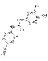 N#Cc1ccc(NC(=O)Nc2ccc(O)c(F)c2)cc1